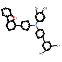 N#Cc1cc(C#N)cc(-c2ccc(N(c3ccc(-c4cccc5c4oc4ccccc45)cc3)c3ccc(C#N)c(C#N)c3)cc2)c1